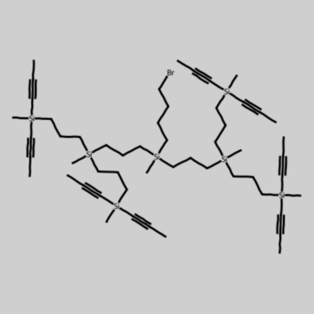 CC#C[Si](C)(C#CC)CCC[Si](C)(CCC[Si](C)(C#CC)C#CC)CCC[Si](C)(CCCCBr)CCC[Si](C)(CCC[Si](C)(C#CC)C#CC)CCC[Si](C)(C#CC)C#CC